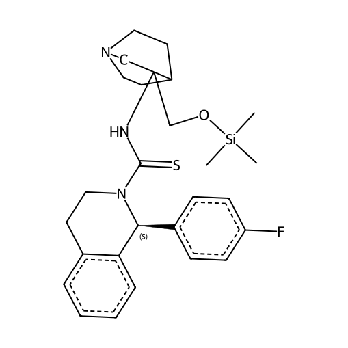 C[Si](C)(C)OCC1(NC(=S)N2CCc3ccccc3[C@@H]2c2ccc(F)cc2)CN2CCC1CC2